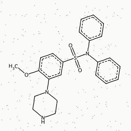 COc1ccc(S(=O)(=O)N(c2ccccc2)c2ccccc2)cc1N1CCNCC1